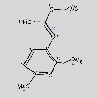 COc1ccc(/C=C(\C=O)OC=O)c(OC)c1